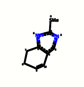 CSc1ncc2c(n1)CCC=C2